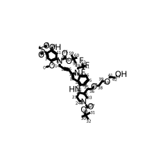 COc1cc(S(C)(=O)=O)c(O)cc1N(CC#Cc1cc2c(NC3CCN(C(=O)OC(C)(C)C)CC3CCOCCOCCO)cccc2n1CC(F)(F)F)C(=O)OC(C)(C)C